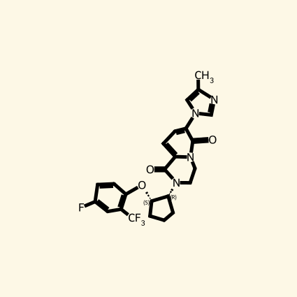 Cc1cn(-c2ccc3n(c2=O)CCN([C@@H]2CCC[C@@H]2Oc2ccc(F)cc2C(F)(F)F)C3=O)cn1